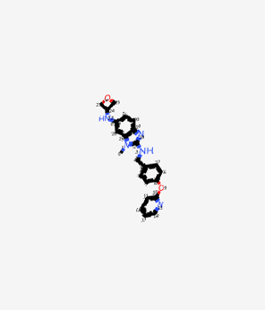 Cn1c(NCc2ccc(Oc3ccccn3)cc2)nc2ccc(NC3COC3)cc21